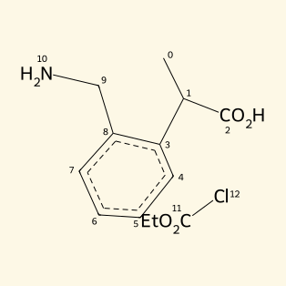 CC(C(=O)O)c1ccccc1CN.CCOC(=O)Cl